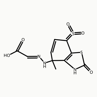 CC1(NN=CC(=O)O)C=CC(=S(=O)=O)c2sc(=O)[nH]c21